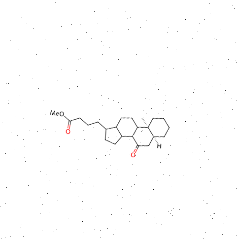 COC(=O)CCCC1CCC2C1CCC1C2C(=O)C[C@@H]2CCCC[C@]12C